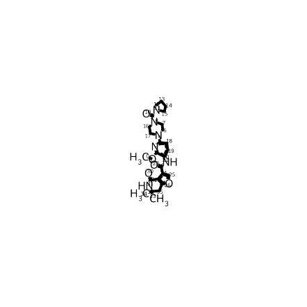 COc1nc(N2CCN(C(=O)N3CCCC3)CC2)ccc1NC(=O)c1coc2c1C(=O)NC(C)(C)C2